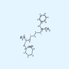 CN(CCCCOC(N)CC1CCCCN1)Cc1ccccc1